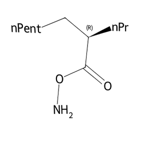 CCCCCC[C@@H](CCC)C(=O)ON